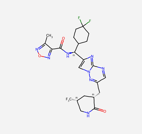 Cc1nonc1C(=O)N[C@H](c1cn2nc(C[C@H]3C[C@@H](C(F)(F)F)CNC3=O)cnc2n1)C1CCC(F)(F)CC1